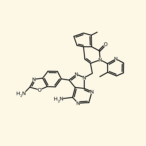 Cc1cccnc1-n1c(Cn2nc(-c3ccc4nc(N)oc4c3)c3c(N)ncnc32)cc2cccc(C)c2c1=O